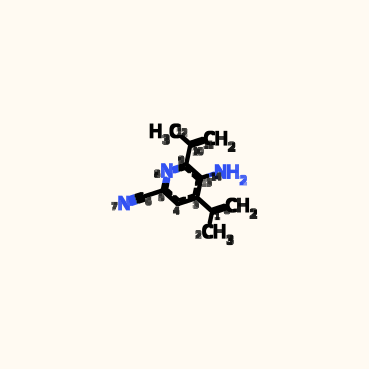 C=C(C)c1cc(C#N)nc(C(=C)C)c1N